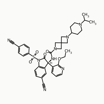 CCOc1ncccc1[C@@]1(NC(=O)N2CC3(C2)CN(C2CCN(C(C)C)CC2)C3)C(=O)N(S(=O)(=O)c2ccc(C#N)cc2)c2ccc(C#N)cc21